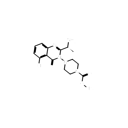 C[C@H](N)c1nc2cccc(Cl)c2c(=O)n1N1CCN(C(=O)OC(C)(C)C)CC1